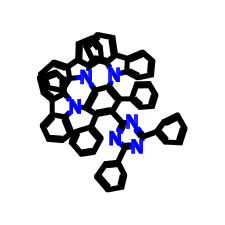 c1ccc(-c2nc(-c3ccccc3)nc(-c3c(-c4ccccc4)c(-n4c5ccccc5c5ccccc54)c(-n4c5ccccc5c5ccccc54)c(-n4c5ccccc5c5ccccc54)c3-c3ccccc3)n2)cc1